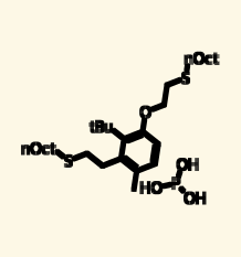 CCCCCCCCSCCOc1ccc(C)c(CCSCCCCCCCC)c1C(C)(C)C.OP(O)O